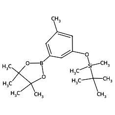 Cc1cc(O[Si](C)(C)C(C)(C)C)cc(B2OC(C)(C)C(C)(C)O2)c1